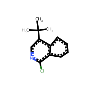 CC(C)(C)c1cnc(Cl)c2ccccc12